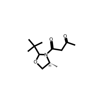 CC(=O)CC(=O)N1C(C(C)(C)C)OC[C@H]1C